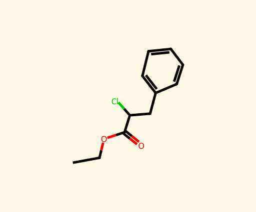 CCOC(=O)C(Cl)Cc1ccccc1